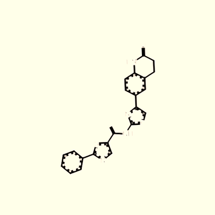 O=C1CCc2cc(-c3csc(NC(=O)c4cnc(-c5ccccc5)s4)n3)ccc2N1